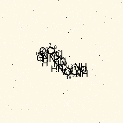 CS(=O)(=O)Nc1ccccc1Nc1nc(Nc2ccc3c(c2)CNC(=O)NC3)ncc1Cl